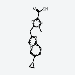 Cn1nc(C(=O)O)nc1Cc1cn2cc(C3CC3)ccc2n1